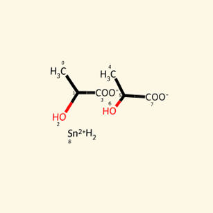 CC(O)C(=O)[O-].CC(O)C(=O)[O-].[SnH2+2]